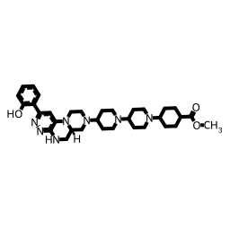 COC(=O)C1CCC(N2CCC(N3CCC(N4CCN5c6cc(-c7ccccc7O)nnc6NC[C@H]5C4)CC3)CC2)CC1